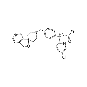 CCC(=O)NC(c1ccc(CN2CCC3(CC2)OCc2ccncc23)cc1)c1ccc(Cl)cn1